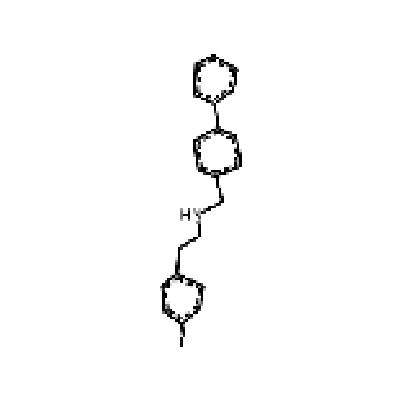 Fc1ccc(CCNCc2ccc(-c3[c]cccc3)cc2)cc1